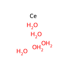 O.O.O.O.O.[Ce]